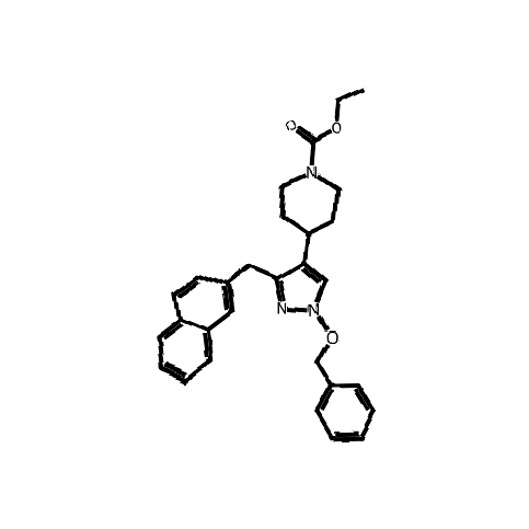 CCOC(=O)N1CCC(c2cn(OCc3ccccc3)nc2Cc2ccc3ccccc3c2)CC1